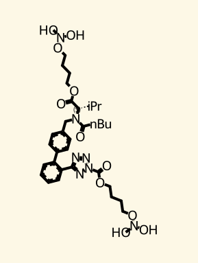 CCCCC(=O)N(Cc1ccc(-c2ccccc2-c2nnn(C(=O)OCCCCON(O)O)n2)cc1)[C@H](C(=O)OCCCCON(O)O)C(C)C